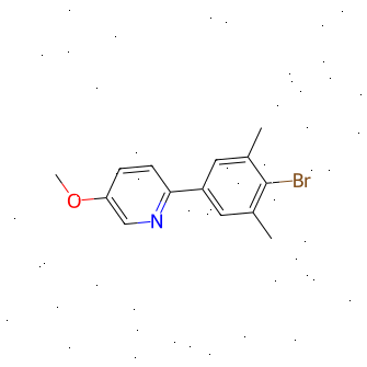 COc1ccc(-c2cc(C)c(Br)c(C)c2)nc1